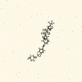 CN1CCN(CCOc2ccc(C#Cc3cnc4cc(NC(=O)Nc5cc(C(C)(C)C)on5)nn4c3)cc2)CC1